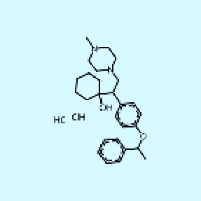 CC(Oc1ccc(C(CN2CCN(C)CC2)C2(O)CCCCC2)cc1)c1ccccc1.Cl.Cl